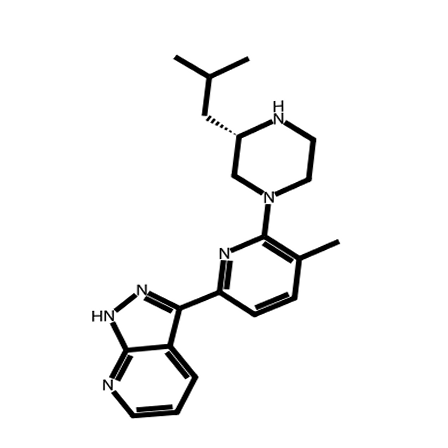 Cc1ccc(-c2n[nH]c3ncccc23)nc1N1CCN[C@@H](CC(C)C)C1